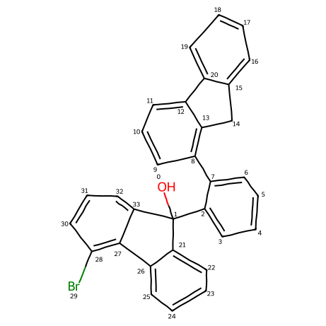 OC1(c2ccccc2-c2cccc3c2Cc2ccccc2-3)c2ccccc2-c2c(Br)cccc21